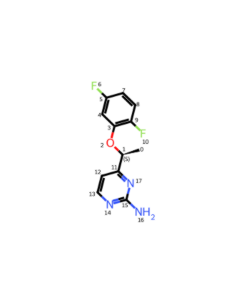 C[C@H](Oc1cc(F)ccc1F)c1ccnc(N)n1